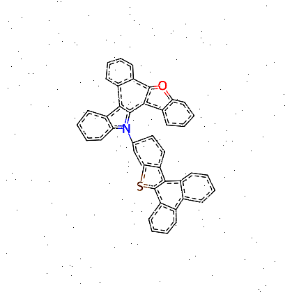 c1ccc2c(c1)oc1c3ccccc3c3c4ccccc4n(-c4ccc5c(c4)sc4c6ccccc6c6ccccc6c54)c3c21